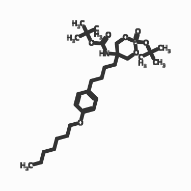 CCCCCCCOc1ccc(CCCCC2(NC(=O)OC(C)(C)C)COP(=O)(OC(C)(C)C)OC2)cc1